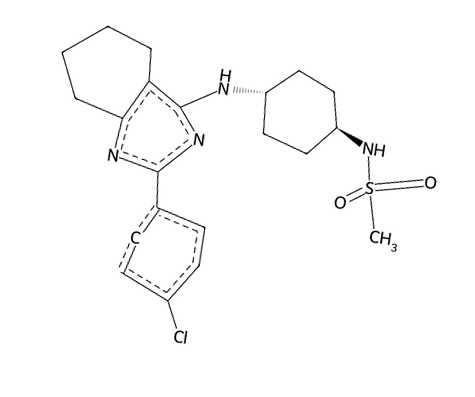 CS(=O)(=O)N[C@H]1CC[C@H](Nc2nc(-c3ccc(Cl)cc3)nc3c2CCCC3)CC1